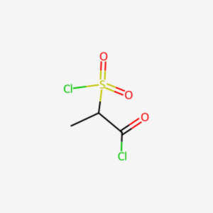 CC(C(=O)Cl)S(=O)(=O)Cl